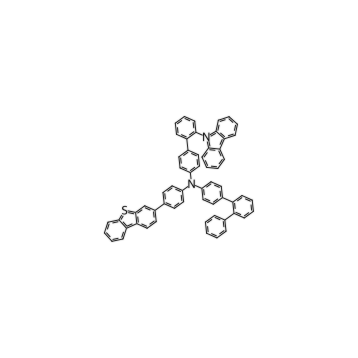 c1ccc(-c2ccccc2-c2ccc(N(c3ccc(-c4ccc5c(c4)sc4ccccc45)cc3)c3ccc(-c4ccccc4-n4c5ccccc5c5ccccc54)cc3)cc2)cc1